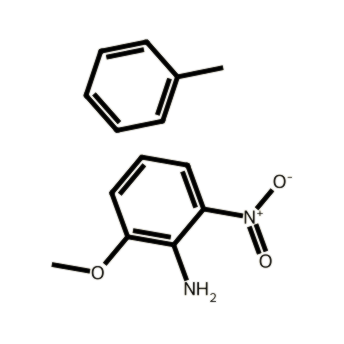 COc1cccc([N+](=O)[O-])c1N.Cc1ccccc1